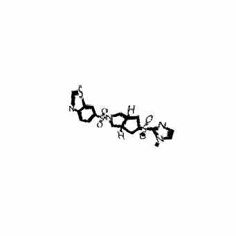 Cn1ccnc1S(=O)(=O)C1C[C@@H]2CN(S(=O)(=O)c3ccc4ncsc4c3)C[C@@H]2C1